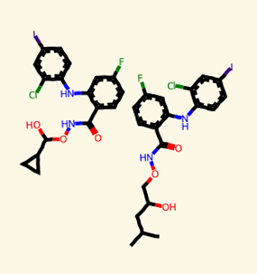 CC(C)CC(O)CONC(=O)c1ccc(F)cc1Nc1ccc(I)cc1Cl.O=C(NOC(O)C1CC1)c1ccc(F)cc1Nc1ccc(I)cc1Cl